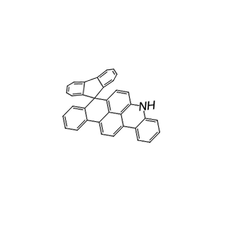 c1ccc2c(c1)Nc1ccc3c4c(ccc-2c14)-c1ccccc1C31c2ccccc2-c2ccccc21